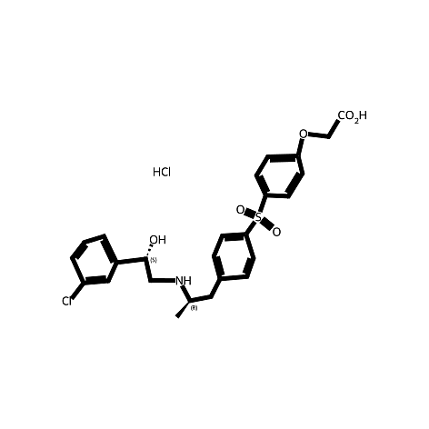 C[C@H](Cc1ccc(S(=O)(=O)c2ccc(OCC(=O)O)cc2)cc1)NC[C@@H](O)c1cccc(Cl)c1.Cl